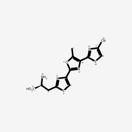 Cc1oc(-c2csc(C[C@H](N)C(=O)O)n2)nc1-c1nc(C#N)cs1